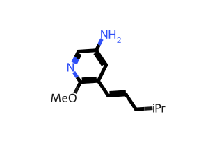 COc1ncc(N)cc1C=CCC(C)C